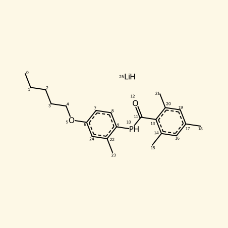 CCCCCOc1ccc(PC(=O)c2c(C)cc(C)cc2C)c(C)c1.[LiH]